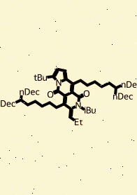 CC/C=c1/c(CCCCCC(CCCCCCCCCC)CCCCCCCCCC)c2c(=O)n3c(C(C)(C)C)ccc3c(CCCCCC(CCCCCCCCCC)CCCCCCCCCC)c2c(=O)n1C(C)CC